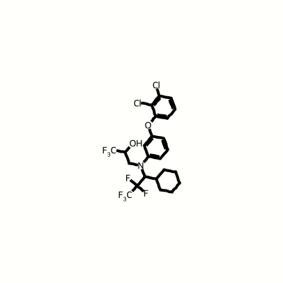 OC(CN(c1cccc(Oc2cccc(Cl)c2Cl)c1)C(C1CCCCC1)C(F)(F)C(F)(F)F)C(F)(F)F